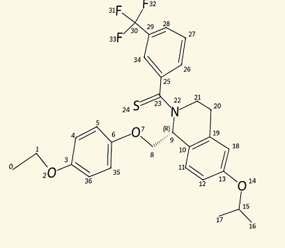 CCOc1ccc(OC[C@H]2c3ccc(OC(C)C)cc3CCN2C(=S)c2cccc(C(F)(F)F)c2)cc1